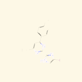 FC(F)(F)c1ccc(-c2cc(C(F)(F)F)nc(-c3nc(I)c[nH]3)n2)cc1